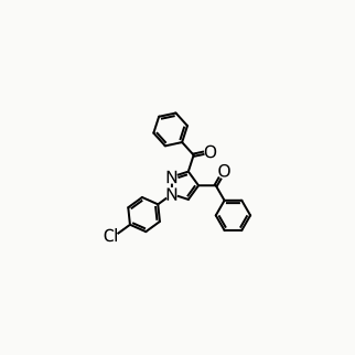 O=C(c1ccccc1)c1cn(-c2ccc(Cl)cc2)nc1C(=O)c1ccccc1